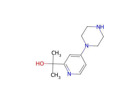 CC(C)(O)c1cc(N2CCNCC2)ccn1